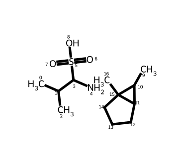 CC(C)C(N)S(=O)(=O)O.CC1C2CCCC12C